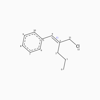 CCC/C(=C\c1ccccc1)CCl